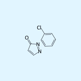 Clc1ccccc1.O=C1C=CN=N1